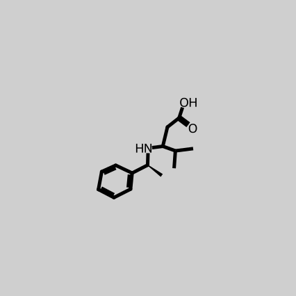 CC(C)C(CC(=O)O)N[C@@H](C)c1ccccc1